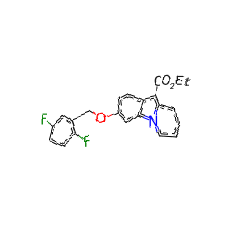 CCOC(=O)c1c2ccc(OCc3cc(F)ccc3F)cc2n2ccccc12